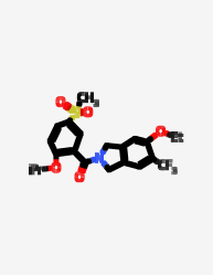 CCOc1cc2c(cc1C(F)(F)F)CN(C(=O)c1cc(S(C)(=O)=O)ccc1OC(C)C)C2